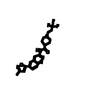 Cc1cc(-c2ccc3nnc(NC(=O)C4CCN(CCC(F)(F)F)CC4)cc3c2)on1